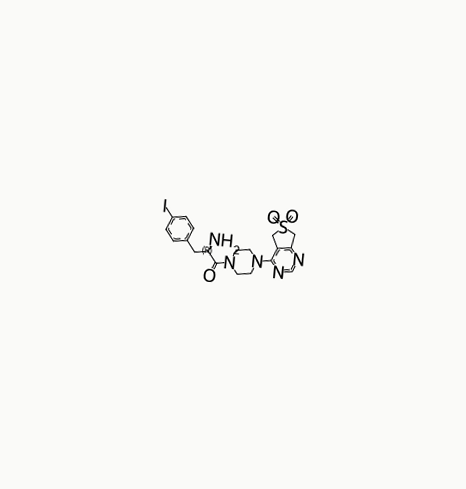 N[C@H](Cc1ccc(I)cc1)C(=O)N1CCN(c2ncnc3c2CS(=O)(=O)C3)CC1